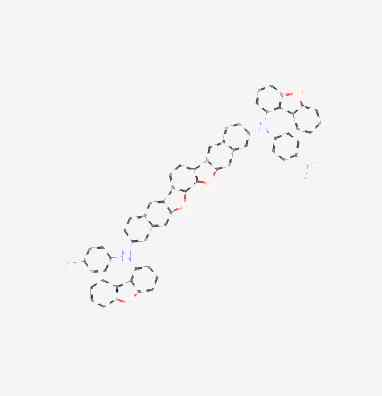 CC(C)c1ccc(N(c2ccc3cc4c(cc3c2)oc2c4ccc3c4cc5ccc(N(c6ccc(C(C)C)cc6)c6cccc7oc8ccccc8c67)cc5cc4oc32)c2cccc3oc4ccccc4c23)cc1